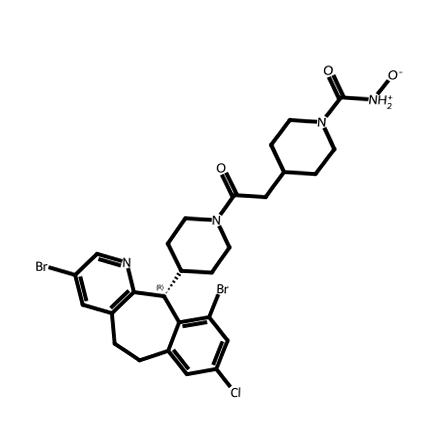 O=C(CC1CCN(C(=O)[NH2+][O-])CC1)N1CCC([C@H]2c3ncc(Br)cc3CCc3cc(Cl)cc(Br)c32)CC1